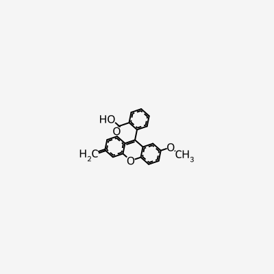 C=c1ccc2c(c1)Oc1ccc(OC)cc1C=2c1ccccc1C(=O)O